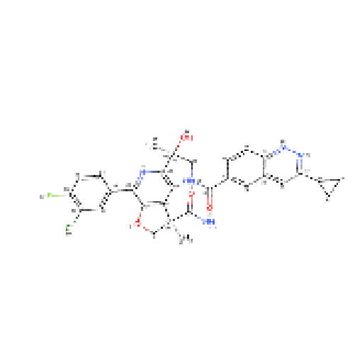 C[C@]1(C(N)=O)COc2c1cc([C@@](O)(CNC(=O)c1ccc3nnc(C4CC4)cc3c1)C(F)(F)F)nc2-c1ccc(F)c(Cl)c1